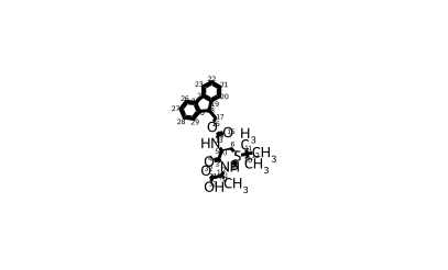 C[C@H](NC(=O)[C@H](CS(=S)C(C)(C)C)NC(=O)OCC1c2ccccc2-c2ccccc21)C(=O)O